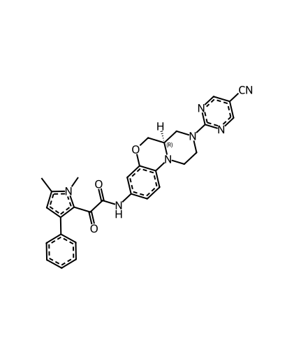 Cc1cc(-c2ccccc2)c(C(=O)C(=O)Nc2ccc3c(c2)OC[C@H]2CN(c4ncc(C#N)cn4)CCN32)n1C